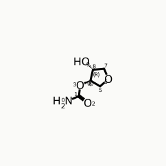 NC(=O)O[C@@H]1COC[C@H]1O